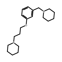 c1cc(CN2CCCCC2)cc(OCCCN2CCCCC2)c1